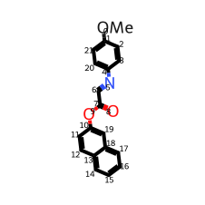 COc1ccc(N=CC(=O)Oc2ccc3ccccc3c2)cc1